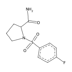 NC(=O)C1CCCN1S(=O)(=O)c1ccc(F)cc1